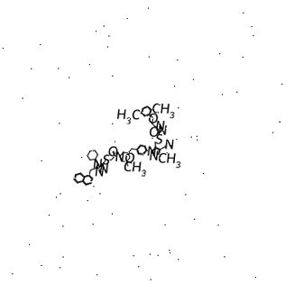 Cc1ccc(C)c(OCc2nnc(SCc3c(C#N)c(C)nn3-c3ccc(CC4CN(C(=O)CSc5nnc(Cc6cccc7ccccc67)n5C5CCCCC5)CC(C)O4)cc3)o2)c1